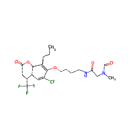 CCCC1=C(OCCCCNC(=O)CN(C)C=O)C(Cl)=CC2C1OC(=O)CC2C(F)(F)F